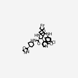 O=C(N[C@H]1CC[C@H](c2nnco2)CC1)[C@@H]1NC2(CC(CF)(CF)C2)[C@@]2(C(=O)Nc3cc(Cl)ccc32)[C@H]1c1ccnc(Cl)c1